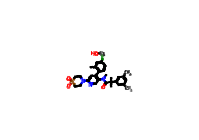 CCO.Cc1cc(F)ccc1-c1cc(N2CCS(=O)(=O)CC2)ncc1N(C)C(=O)C(C)(C)c1cc(C(F)(F)F)cc(C(F)(F)F)c1